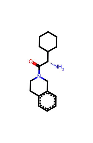 N[C@H](C(=O)N1CCc2ccccc2C1)C1CCCCC1